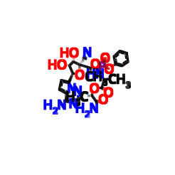 CC(OP(=O)(N[C@@H](C)C(=O)O[C@@H](C)C(N)=O)Oc1ccccc1)[C@@]1(C#N)O[C@@H](c2ccc3c(N)ncnn23)[C@H](O)[C@@H]1O